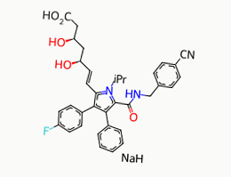 CC(C)n1c(/C=C/[C@@H](O)C[C@@H](O)CC(=O)O)c(-c2ccc(F)cc2)c(-c2ccccc2)c1C(=O)NCc1ccc(C#N)cc1.[NaH]